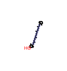 CC1=C(/C=C/C(C)=C/C=C/C(C)=C/C=C/C=C(C)/C=C/C=C(C)/C=C/C2=C(C)CC(O)CC2(C)C)C(C)(C)CCC1